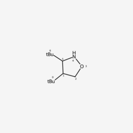 CC(C)(C)C1CONC1C(C)(C)C